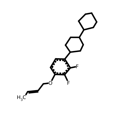 C/C=C/COc1ccc(C2CCC(C3CCCCC3)CC2)c(F)c1F